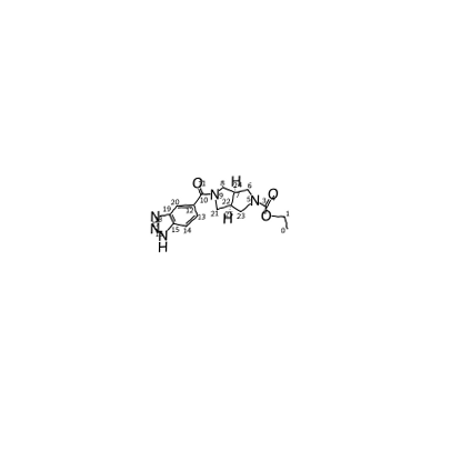 CCOC(=O)N1C[C@@H]2CN(C(=O)c3ccc4[nH]nnc4c3)C[C@@H]2C1